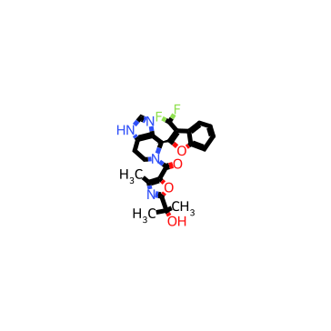 Cc1nc(C(C)(C)O)oc1C(=O)N1CCc2[nH]cnc2[C@H]1c1oc2ccccc2c1C(F)F